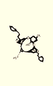 Cc1cc2c(O)c(c1)Cc1cc(CCc3ccccc3)cc(c1O)Cc1cc(C)cc(c1O)Cc1cc(CCc3ccccc3)cc(c1O)C2